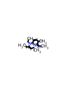 C=C/C=C(/C=C)N(CC)C(N)/C=C\C(=C)/C=C\C